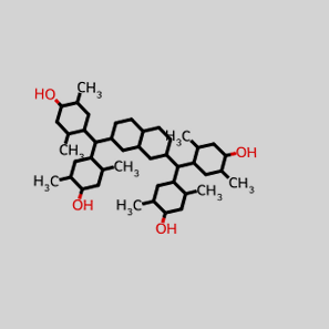 CC1CC(C(C2CCC3CCC(C(C4CC(C)C(O)CC4C)C4CC(C)C(O)CC4C)CC3C2)C2CC(C)C(O)CC2C)C(C)CC1O